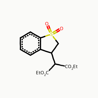 CCOC(=O)C(C(=O)OCC)C1CS(=O)(=O)c2ccccc21